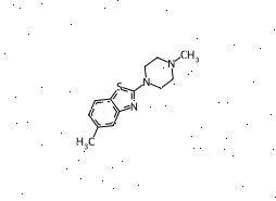 Cc1ccc2sc(N3CCN(C)CC3)nc2c1